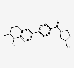 CC(=O)N1c2ccc(-c3ccc(C(=O)N4CCC(O)C4)nc3)cc2CC[C@@H]1C